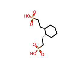 O=S(=O)(O)CC[C@H]1CCCC[C@@H]1CCS(=O)(=O)O